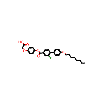 CCCCCCCCOc1ccc(-c2ccc(C(=O)Oc3ccc(O[C@H](C)C(=O)O)cc3)cc2F)cc1